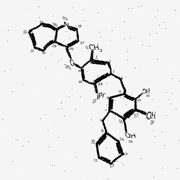 Cc1cc(Cc2cc(Cc3ccccc3)c(O)c(O)c2O)c(C(C)C)cc1Oc1ccnc2ccccc12